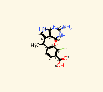 CC(c1ccc(C(=O)O)c(F)c1)c1c[nH]c2nc(N)[nH]c(=O)c12